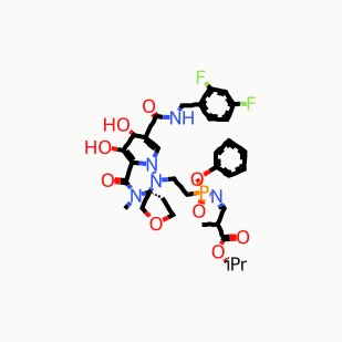 CC(C)OC(=O)C(C)/C=N\P(=O)(CCN1N2C=C(C(=O)NCc3ccc(F)cc3F)C(O)C(O)=C2C(=O)N(C)[C@@]12CCOC2)Oc1ccccc1